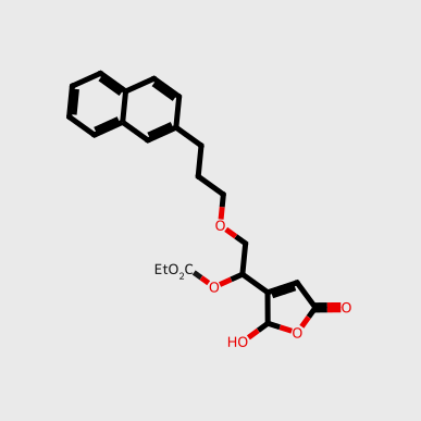 CCOC(=O)OC(COCCCc1ccc2ccccc2c1)C1=CC(=O)OC1O